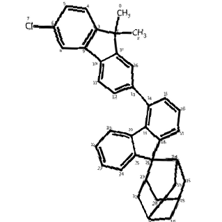 CC1(C)c2ccc(Cl)cc2-c2ccc(-c3cccc4c3-c3ccccc3C43C4CC5CC(C4)CC3C5)cc21